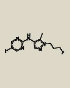 Cc1c(Nc2ncc(I)cn2)cnn1CCCF